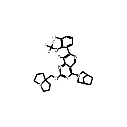 Fc1c(-c2cccc(Cl)c2OC(F)(F)F)ncc2c(N3CC4CCC(C4)C3)nc(OCC34CCCN3CCC4)nc12